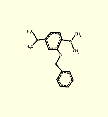 CC(C)c1ccc(N(C)C)c(OCc2ccccc2)c1